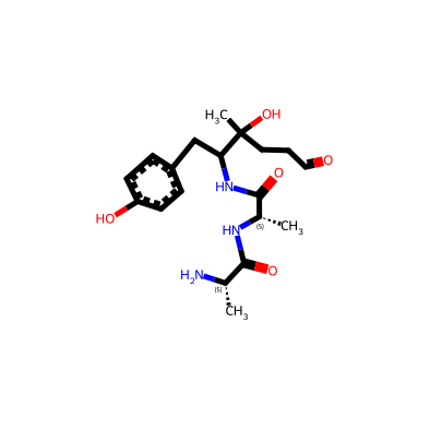 C[C@H](N)C(=O)N[C@@H](C)C(=O)NC(Cc1ccc(O)cc1)C(C)(O)[CH]CC=O